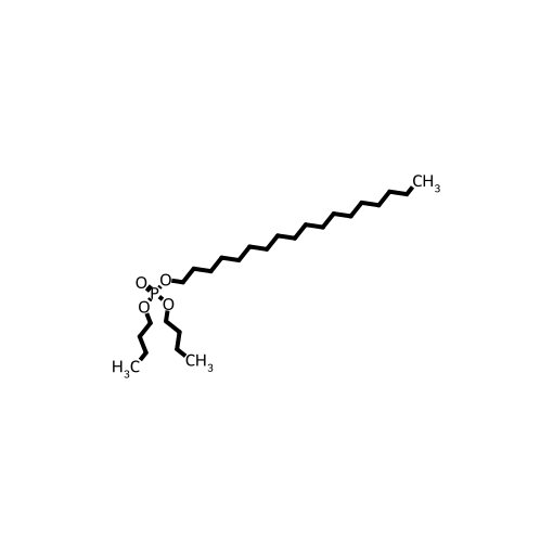 CCCCCCCCCCCCCCCCCCOP(=O)(OCCCC)OCCCC